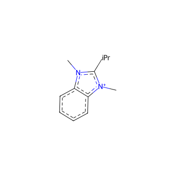 CC(C)c1n(C)c2ccccc2[n+]1C